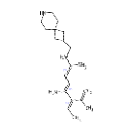 C=C(C)C(=C\C)/C(N)=C/C=C(\N)NCC1CC2(CCNCC2)C1